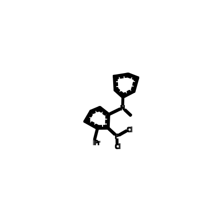 CC(C)c1cccc(N(C)c2ccccc2)c1P(Cl)Cl